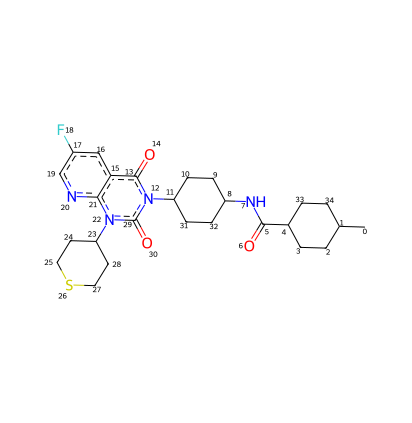 CC1CCC(C(=O)NC2CCC(n3c(=O)c4cc(F)cnc4n(C4CCSCC4)c3=O)CC2)CC1